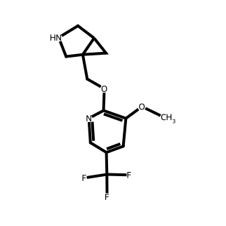 COc1cc(C(F)(F)F)cnc1OCC12CNCC1C2